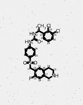 CC(NC(=O)Nc1ccc(S(=O)(=O)Cc2cc3c(cc2F)CNCC3)cc1)c1cccc(Cl)c1Cl